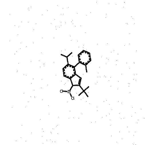 Cc1ccccc1-c1c(C(C)C)ccc2c1C=C(C(C)(C)C)[CH]2[Zr]([Cl])[Cl]